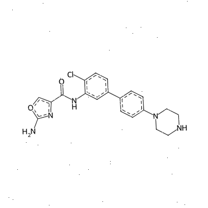 Nc1nc(C(=O)Nc2cc(-c3ccc(N4CCNCC4)cc3)ccc2Cl)co1